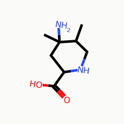 CC1CNC(C(=O)O)CC1(C)N